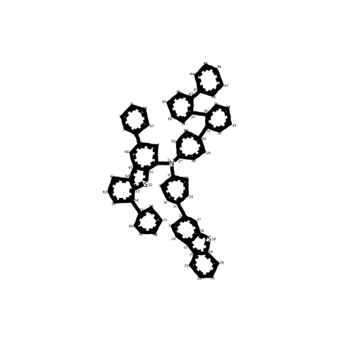 c1ccc(-c2cc(N(c3ccc(-c4ccc5c(c4)sc4ccccc45)cc3)c3ccc(-c4ccccc4-c4ccccc4-c4ccccc4)cc3)c3sc4c(-c5ccccc5)cccc4c3c2)cc1